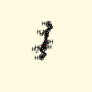 Nc1ccc(N=Nc2cccc3ccc(S(=O)(=O)O)cc23)c2ccc(N=Nc3ccc(/C=C/c4ccc(N=Nc5c(S(=O)(=O)O)cc6c(N=Nc7cccc8ccc(S(=O)(=O)O)cc78)ccc(N)c6c5O)cc4S(=O)(=O)O)cc3)c(O)c12